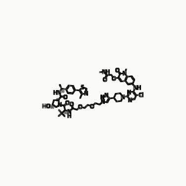 CNC(=O)COc1cc2cc(Nc3nc(N4CCC(c5cn(CCOCCOCC(=O)N[C@H](C(=O)N6C[C@H](O)C[C@H]6C(=O)N[C@@H](C)c6ccc(-c7scnc7C)cc6)C(C)(C)C)nn5)CC4)ncc3Cl)ccc2n(C)c1=O